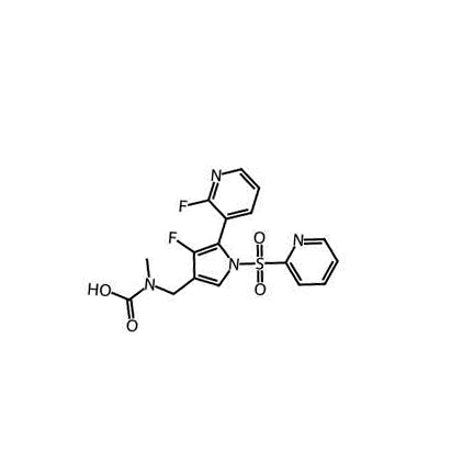 CN(Cc1cn(S(=O)(=O)c2ccccn2)c(-c2cccnc2F)c1F)C(=O)O